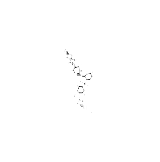 CC(C)(c1ccc(OC2CC(N)C2)cc1)c1ccccc1Oc1ncc(N2CC3(CC(=O)C3)C2)cn1